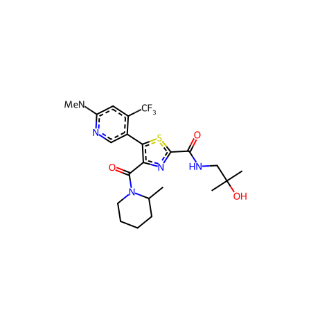 CNc1cc(C(F)(F)F)c(-c2sc(C(=O)NCC(C)(C)O)nc2C(=O)N2CCCCC2C)cn1